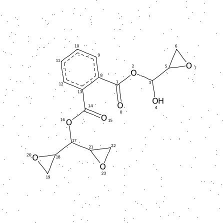 O=C(OC(O)C1CO1)c1ccccc1C(=O)OC(C1CO1)C1CO1